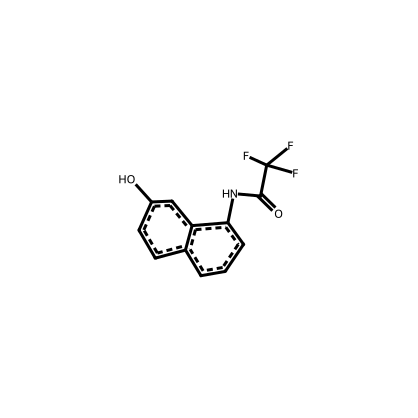 O=C(Nc1cccc2ccc(O)cc12)C(F)(F)F